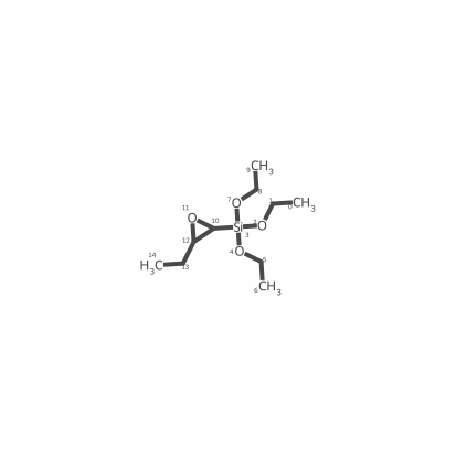 CCO[Si](OCC)(OCC)C1OC1CC